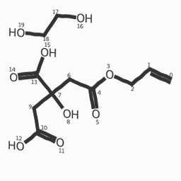 C=CCOC(=O)CC(O)(CC(=O)O)C(=O)O.OCCO